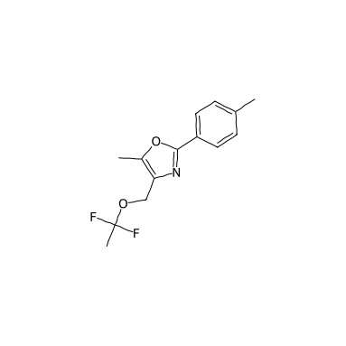 Cc1ccc(-c2nc(COC(C)(F)F)c(C)o2)cc1